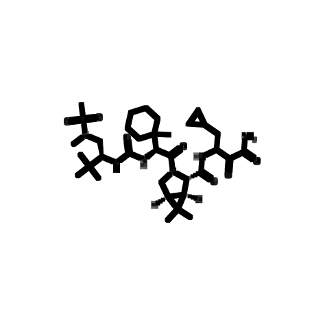 CN(C[C@@H](NC(=O)N[C@H](C(=O)N1C[C@H]2[C@@H]([C@H]1C(=O)NC(CC1CC1)C(=O)C(N)=O)C2(C)C)C1(C)CCCCC1)C(C)(C)C)S(C)(=O)=O